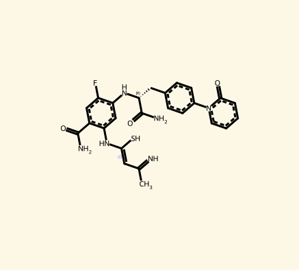 CC(=N)/C=C(\S)Nc1cc(N[C@H](Cc2ccc(-n3ccccc3=O)cc2)C(N)=O)c(F)cc1C(N)=O